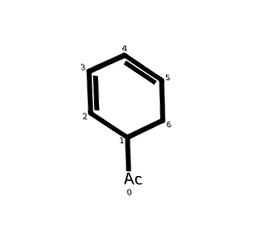 CC(=O)C1C=CC=CC1